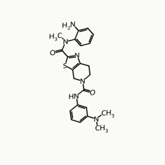 CN(C)c1cccc(NC(=O)N2CCc3nc(C(=O)N(C)c4ccccc4N)sc3C2)c1